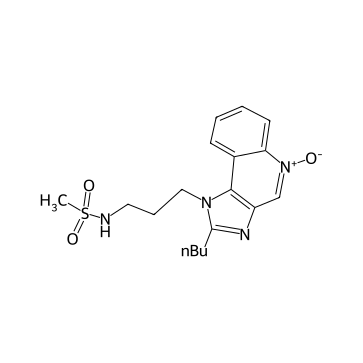 CCCCc1nc2c[n+]([O-])c3ccccc3c2n1CCCNS(C)(=O)=O